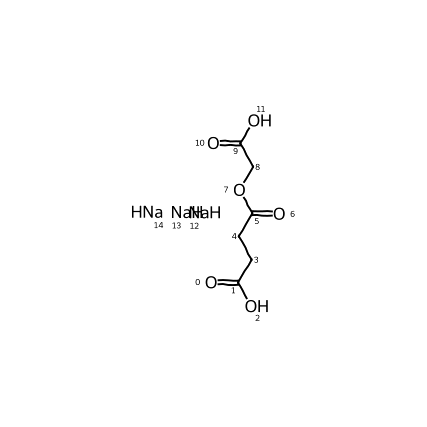 O=C(O)CCC(=O)OCC(=O)O.[NaH].[NaH].[NaH]